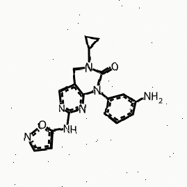 Nc1cccc(N2C(=O)N(C3CC3)Cc3cnc(Nc4ccno4)nc32)c1